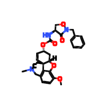 COc1ccc2c3c1O[C@H]1C[C@@H](OC(=O)N[C@H]4CON(Cc5ccccc5)C4=O)C=C[C@@]31CCN(C)C2